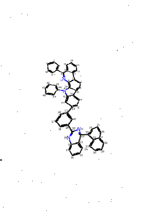 c1ccc(-c2nc3c(ccc4c5ccc(-c6cccc(-c7nc(-c8cccc9ccccc89)c8ccccc8n7)c6)cc5n(-c5ccccc5)c43)c3ccccc23)cc1